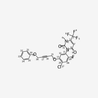 Cn1c(C(F)(F)F)cc(=O)n(-c2cc(OCC#CCOc3ccccc3)c(Cl)cc2F)c1=O